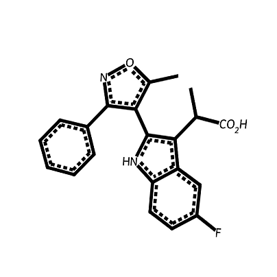 Cc1onc(-c2ccccc2)c1-c1[nH]c2ccc(F)cc2c1C(C)C(=O)O